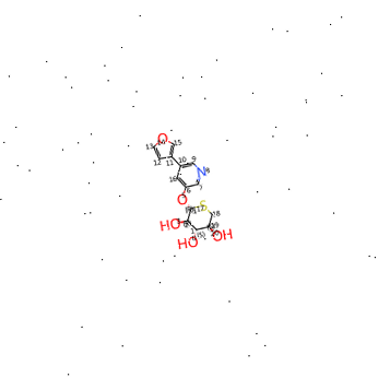 O[C@@H]1[C@@H](O)[C@H](Oc2cncc(-c3ccoc3)c2)SC[C@H]1O